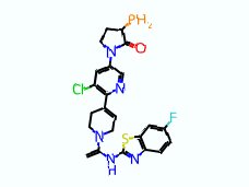 C=C(Nc1nc2ccc(F)cc2s1)N1CC=C(c2ncc(N3CCC(P)C3=O)cc2Cl)CC1